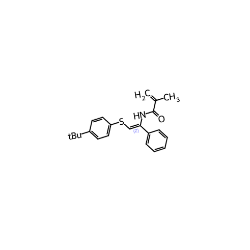 C=C(C)C(=O)N/C(=C\Sc1ccc(C(C)(C)C)cc1)c1ccccc1